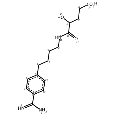 N=C(N)c1ccc(CCCCNC(=O)C(O)CCC(=O)O)cc1